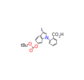 CC(C)(C)OC(=O)Oc1ccc2c(I)cn(-c3ccccc3C(=O)O)c2c1